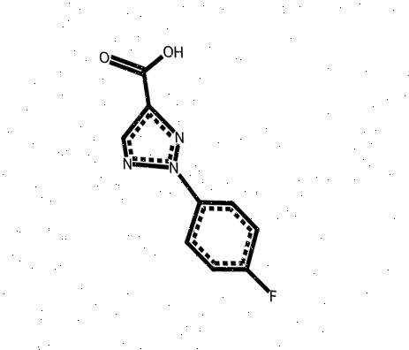 O=C(O)c1cnn(-c2ccc(F)cc2)n1